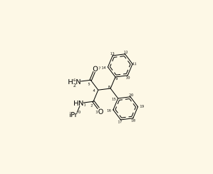 CC(C)NC(=O)C(C(N)=O)C(c1ccccc1)c1ccccc1